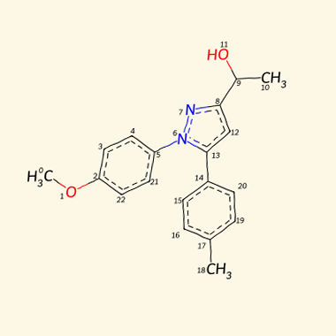 COc1ccc(-n2nc(C(C)O)cc2-c2ccc(C)cc2)cc1